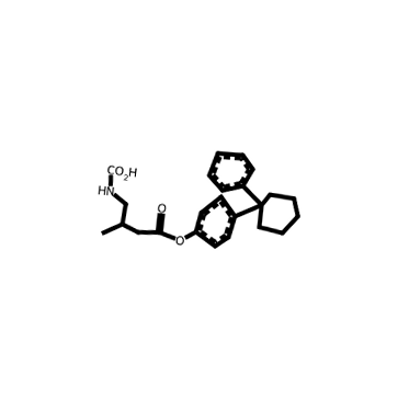 CC(CNC(=O)O)CC(=O)Oc1ccc(C2(c3ccccc3)CCCCC2)cc1